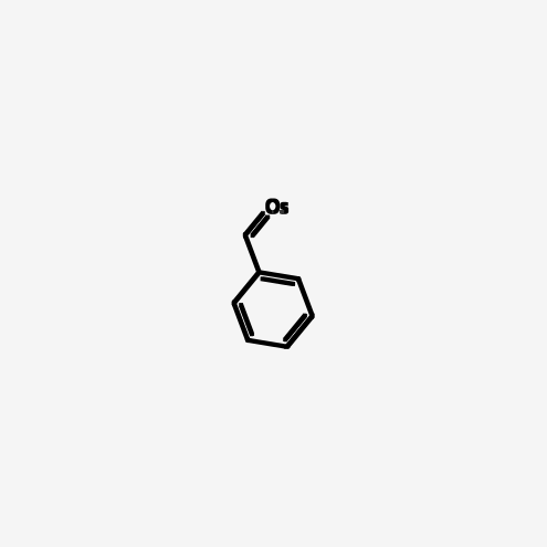 [Os]=[CH]c1ccccc1